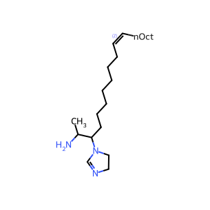 CCCCCCCC/C=C\CCCCCCCC(C(C)N)N1C=NCC1